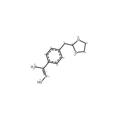 N/C(=N\O)c1ccc(CC2OCCO2)cc1